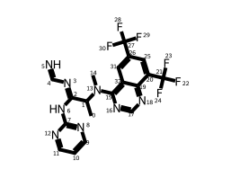 CC(/C(=N/C=N)Nc1ncccn1)N(C)c1ncnc2c(C(F)(F)F)cc(C(F)(F)F)cc12